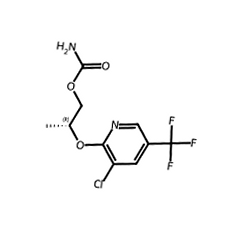 C[C@H](COC(N)=O)Oc1ncc(C(F)(F)F)cc1Cl